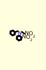 O=[N+]([O-])C(CN(Cc1ccccc1)c1ccccc1)[N+](=O)[O-]